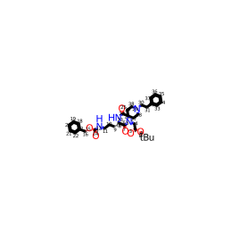 CC(C)(C)OC(=O)CN1C(=O)[C@H](CCCNC(=O)OCc2ccccc2)NC(=O)C12CCN(CCc1ccccc1)CC2